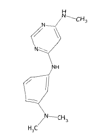 CNc1cc(Nc2cccc(N(C)C)c2)ncn1